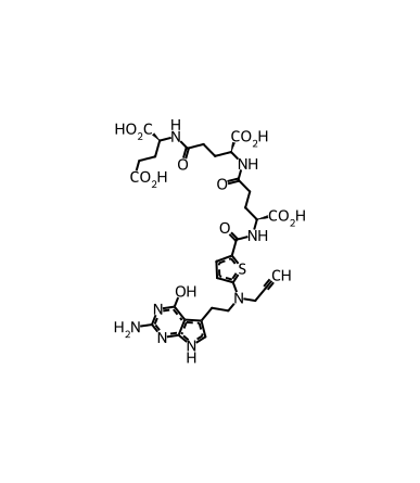 C#CCN(CCc1c[nH]c2nc(N)nc(O)c12)c1ccc(C(=O)N[C@@H](CCC(=O)N[C@@H](CCC(=O)N[C@@H](CCC(=O)O)C(=O)O)C(=O)O)C(=O)O)s1